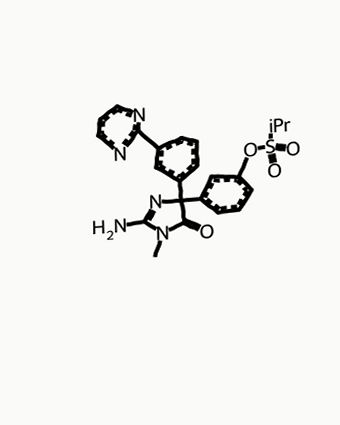 CC(C)S(=O)(=O)Oc1cccc(C2(c3cccc(-c4ncccn4)c3)N=C(N)N(C)C2=O)c1